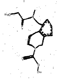 COCC(=O)N(C)c1cccc2c1CCN(C(=O)OC(C)(C)C)C2